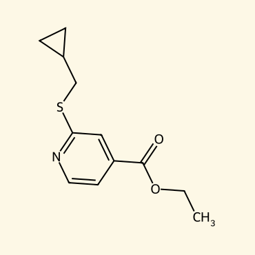 CCOC(=O)c1ccnc(SCC2CC2)c1